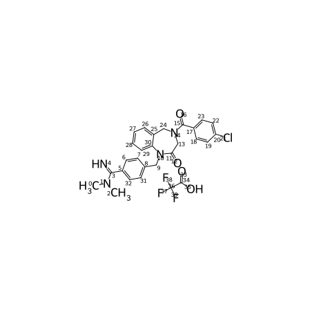 CN(C)C(=N)c1ccc(CN2C(=O)CN(C(=O)c3ccc(Cl)cc3)Cc3ccccc32)cc1.O=C(O)C(F)(F)F